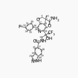 C[C@]1(C(N)=O)COc2c1cc(C(O)(CNC(=O)c1ccc3[nH]ncc3c1)C(F)(F)F)nc2-c1ccc(F)cc1